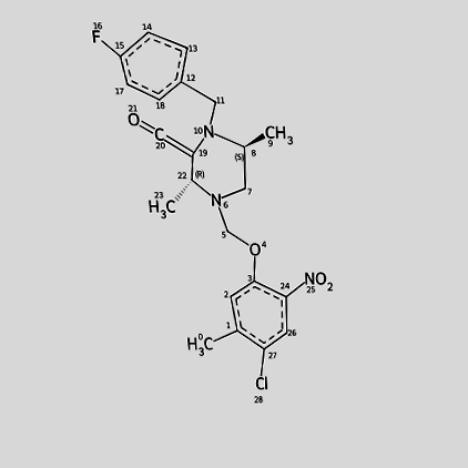 Cc1cc(OCN2C[C@H](C)N(Cc3ccc(F)cc3)C(=C=O)[C@H]2C)c([N+](=O)[O-])cc1Cl